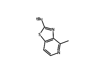 Cc1nccc2sc(C(C)(C)C)nc12